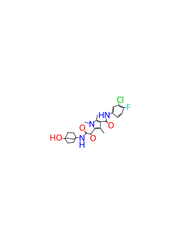 Cc1c(C(=O)Nc2ccc(F)c(Cl)c2)c(C)n(C)c1C(=O)C(=O)NC12CCC(O)(CC1)CC2